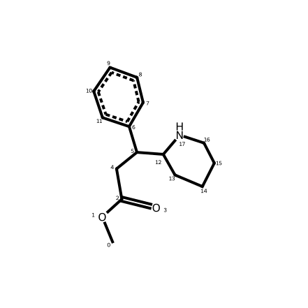 COC(=O)CC(c1ccccc1)C1CCCCN1